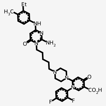 CCc1cc(Nc2cc(=O)n(CCCCCN3CCN(c4cc(=O)c(C(=O)O)cn4-c4ccc(F)cc4F)CC3)c(N)n2)ccc1C